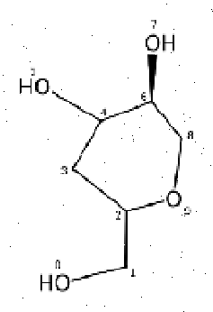 OCC1CC(O)[C@@H](O)CO1